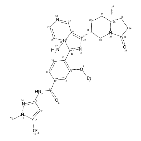 CCOc1cc(C(=O)Nc2cc(C(F)(F)F)n(C)n2)ccc1C1=NC([C@@H]2CC[C@H]3CCC(=O)N3C2)=C2C=NC=C[N+]12N